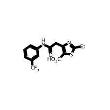 CCc1nc(CC(=O)Nc2cccc(C(F)(F)F)c2)c(C(=O)O)s1